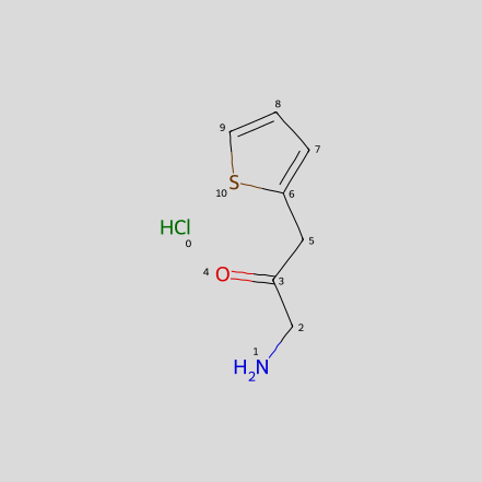 Cl.NCC(=O)Cc1cccs1